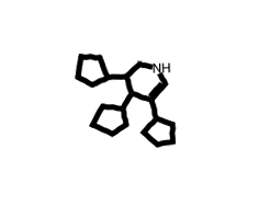 [C]1NC=C(C2CCCC2)C(C2CCCC2)C1C1CCCC1